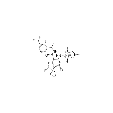 CC(NC(=O)c1cn(C2(C(F)F)CCC2)c(=O)cc1N[C@@H]1[C@@H]2CN(C)C[C@@H]21)c1cccc(C(F)F)c1F